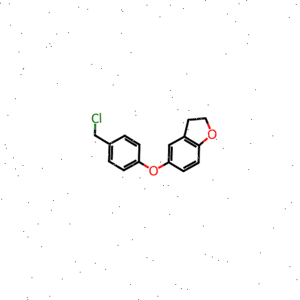 ClCc1ccc(Oc2ccc3c(c2)CCO3)cc1